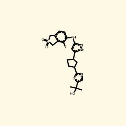 CC(C)(O)c1cnc(C2CCC(c3cc(Nc4ccc5c(c4F)CS(=O)(=O)C5)n[nH]3)C2)o1